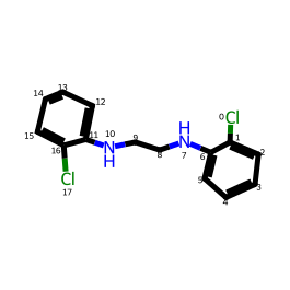 Clc1ccccc1NCCNc1ccccc1Cl